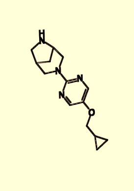 c1nc(N2CC3CNC(C3)C2)ncc1OCC1CC1